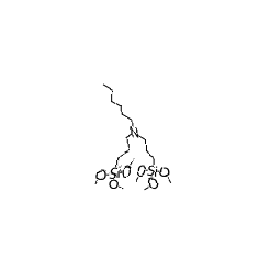 CCCCCCN(CCC[Si](OC)(OC)OC)CCC[Si](OC)(OC)OC